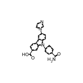 NC(=O)c1ccc(-n2c3ccc(-n4ccnc4)cc3c3ccc(C(=O)O)cc32)cc1